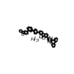 CC1(C)c2cc(-c3ccc(-c4cccc(-c5ccc6oc7ccccc7c6c5)c4)cc3)ccc2-c2ccc(-c3cnc4c5ccccc5c5ccccc5c4n3)cc21